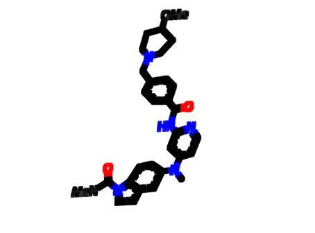 CNC(=O)n1ccc2cc(N(C)c3ccnc(NC(=O)c4ccc(CN5CCC(OC)CC5)cc4)c3)ccc21